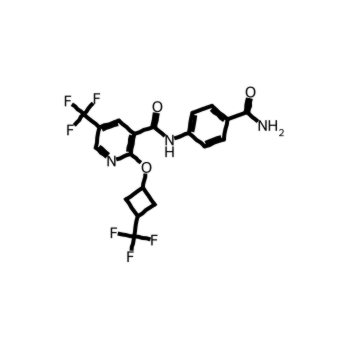 NC(=O)c1ccc(NC(=O)c2cc(C(F)(F)F)cnc2OC2CC(C(F)(F)F)C2)cc1